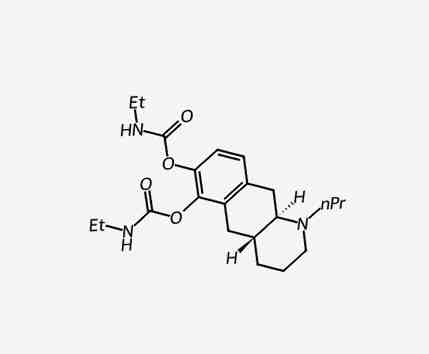 CCCN1CCC[C@@H]2Cc3c(ccc(OC(=O)NCC)c3OC(=O)NCC)C[C@H]21